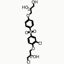 O=S(=O)(c1ccc(OC[C@H](O)CO)cc1)c1ccc(OC[C@@H](O)CCl)c(Cl)c1